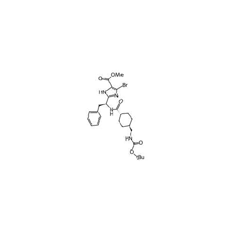 COC(=O)c1[nH]c([C@H](Cc2ccccc2)NC(=O)[C@H]2CC[C@H](CNC(=O)OC(C)(C)C)CC2)nc1Br